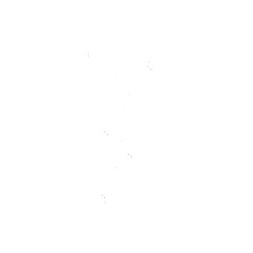 CNC1CCCCN(c2nc3cc(SC)cc(-c4nccs4)c3o2)C1